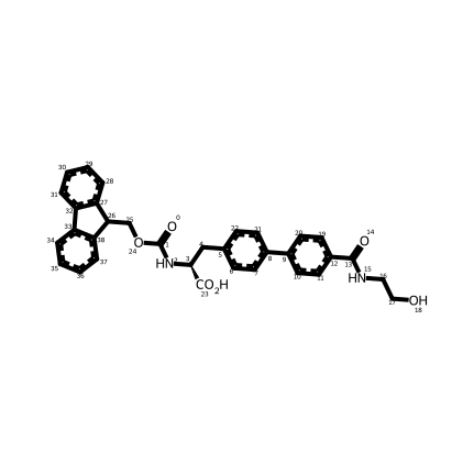 O=C(N[C@@H](Cc1ccc(-c2ccc(C(=O)NCCO)cc2)cc1)C(=O)O)OCC1c2ccccc2-c2ccccc21